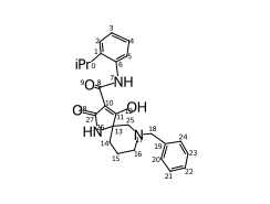 CC(C)c1ccccc1NC(=O)C1=C(O)C2(CCCN(Cc3ccccc3)C2)NC1=O